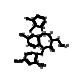 COc1ccc(CN2C(=O)[C@H](CC(=O)O)O[C@@H](c3cccc(F)c3C)c3cc(Cl)ccc32)c(OC)c1